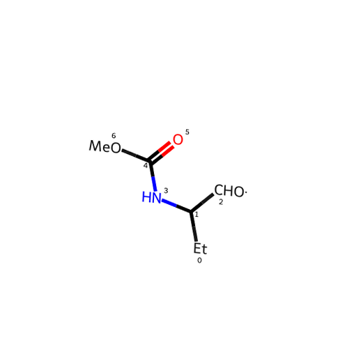 CCC([C]=O)NC(=O)OC